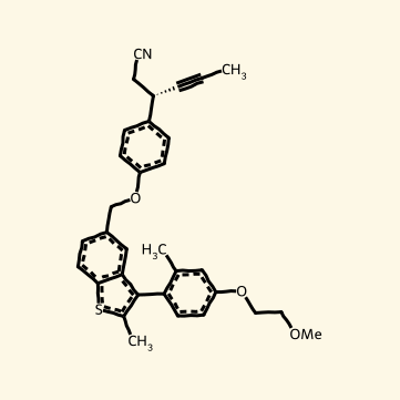 CC#C[C@@H](CC#N)c1ccc(OCc2ccc3sc(C)c(-c4ccc(OCCOC)cc4C)c3c2)cc1